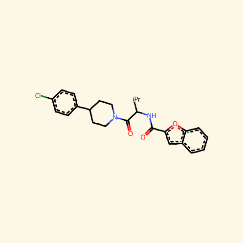 CC(C)C(NC(=O)c1cc2ccccc2o1)C(=O)N1CCC(c2ccc(Cl)cc2)CC1